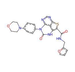 O=C(NCc1ccco1)c1sc2ncnc3c2c1NC(=O)N3c1ccc(N2CCOCC2)cc1